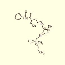 CCCOC(C)(C)C/C=C/[C@H]1CC[C@H](O)[C@@H]1C/C=C\CCC(SS)C(=O)NC(=O)c1ccccc1